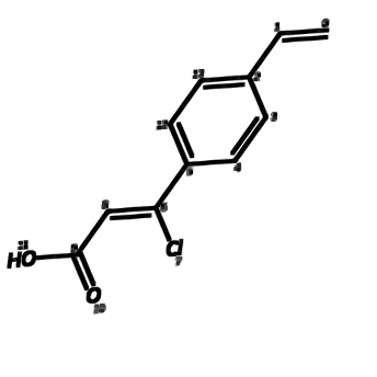 C=Cc1ccc(C(Cl)=CC(=O)O)cc1